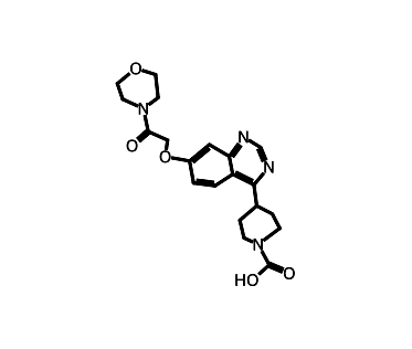 O=C(O)N1CCC(c2ncnc3cc(OCC(=O)N4CCOCC4)ccc23)CC1